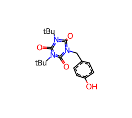 CC(C)(C)n1c(=O)n(Cc2ccc(O)cc2)c(=O)n(C(C)(C)C)c1=O